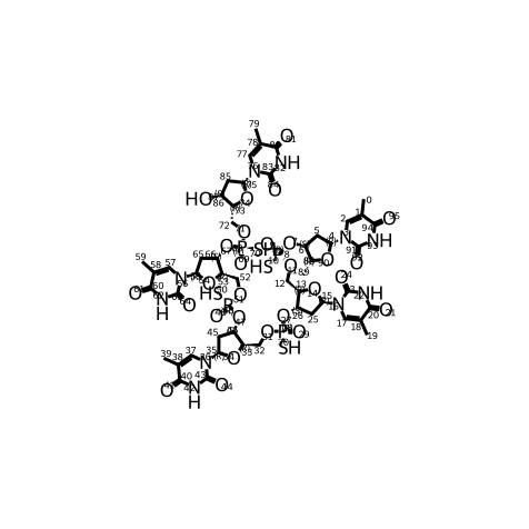 Cc1cn([C@H]2C[C@H](O[P@](=O)(S)OC[C@H]3O[C@@H](n4cc(C)c(=O)[nH]c4=O)C[C@@H]3O[P@](=O)(S)OC[C@H]3O[C@@H](n4cc(C)c(=O)[nH]c4=O)C[C@@H]3O[P@](=O)(S)OC[C@H]3O[C@@H](n4cc(C)c(=O)[nH]c4=O)C[C@@H]3O[P@](=O)(S)OC[C@H]3O[C@@H](n4cc(C)c(=O)[nH]c4=O)C[C@@H]3O)[C@@H](C)O2)c(=O)[nH]c1=O